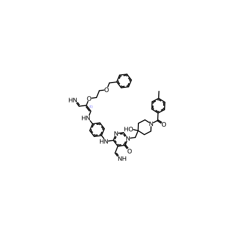 Cc1ccc(C(=O)N2CCC(O)(Cn3cnc(Nc4ccc(N/C=C(\C=N)OCCOCc5ccccc5)cc4)c(C=N)c3=O)CC2)cc1